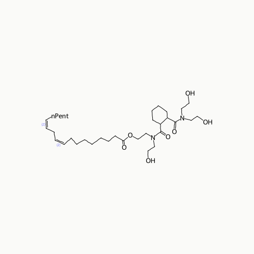 CCCCC/C=C\C/C=C\CCCCCCCC(=O)OCCN(CCO)C(=O)C1CCCCC1C(=O)N(CCO)CCO